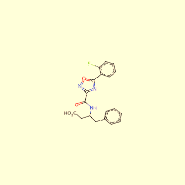 O=C(O)CC(Cc1ccccc1)NC(=O)c1noc(-c2ccccc2F)n1